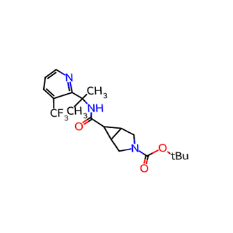 CC(C)(C)OC(=O)N1CC2C(C1)C2C(=O)NC(C)(C)c1ncccc1C(F)(F)F